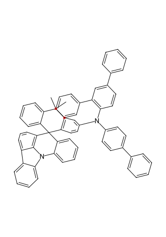 CC1(C)c2ccccc2C2(c3ccccc3-n3c4ccccc4c4cccc2c43)c2ccc(N(c3ccc(-c4ccccc4)cc3)c3ccc(-c4ccccc4)cc3-c3ccccc3)cc21